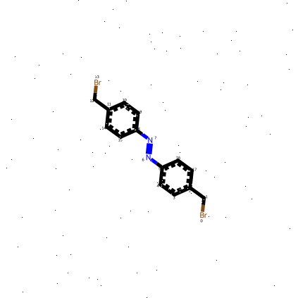 BrCc1ccc(N=Nc2ccc(CBr)cc2)cc1